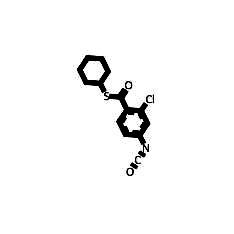 O=C=Nc1ccc(C(=O)SC2CCCCC2)c(Cl)c1